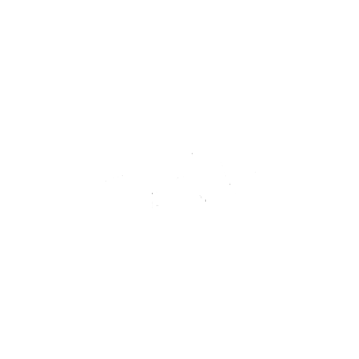 CCNC1=NC(C)(C)CS1